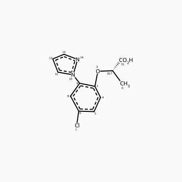 C[C@H](Oc1ccc(Cl)cc1-n1cccn1)C(=O)O